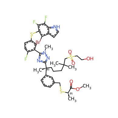 COC(=O)[C@@H](C)SCc1cccc([C@@](C)(CCCC(C)(C)CS(=O)(=O)CCO)c2nc(-c3cc(Sc4c(F)c(F)c5[nH]ccc5c4Br)ccc3F)n(C)n2)c1